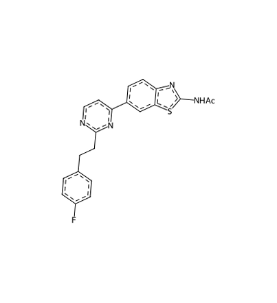 CC(=O)Nc1nc2ccc(-c3ccnc(CCc4ccc(F)cc4)n3)cc2s1